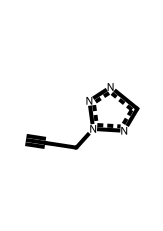 C#CCn1ncnn1